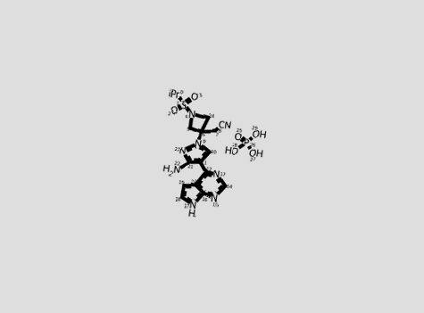 CC(C)S(=O)(=O)N1CC(CC#N)(n2cc(-c3ncnc4[nH]ccc34)c(N)n2)C1.O=P(O)(O)O